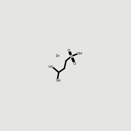 O=S(=O)(O)CCC(S)S.[Zn]